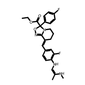 CCOC(=O)C1(c2ccc(F)cc2)ON=C2/C(=C/c3ccc(N/C=C(/C)NC)c(F)c3)CCCN21